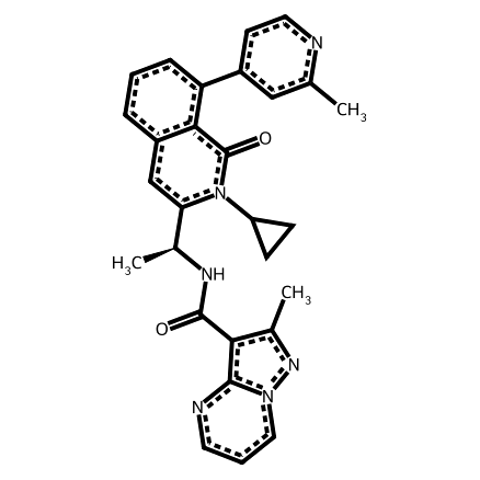 Cc1cc(-c2cccc3cc([C@H](C)NC(=O)c4c(C)nn5cccnc45)n(C4CC4)c(=O)c23)ccn1